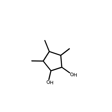 CC1C(C)C(O)C(O)C1C